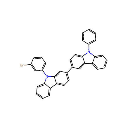 Brc1cccc(-n2c3ccccc3c3ccc(-c4ccc5c(c4)c4ccccc4n5-c4ccccc4)cc32)c1